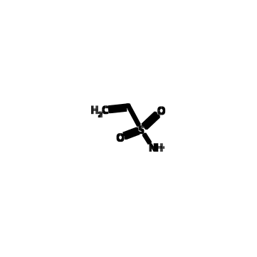 C=CS([NH])(=O)=O